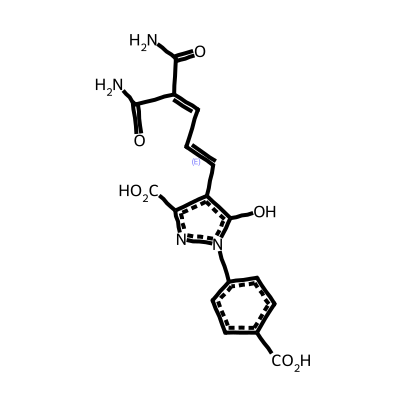 NC(=O)C(=C/C=C/c1c(C(=O)O)nn(-c2ccc(C(=O)O)cc2)c1O)C(N)=O